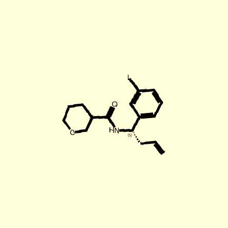 C=CC[C@H](NC(=O)C1CCCOC1)c1cccc(I)c1